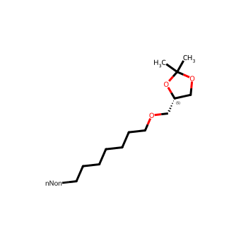 CCCCCCCCCCCCCCCCOC[C@H]1COC(C)(C)O1